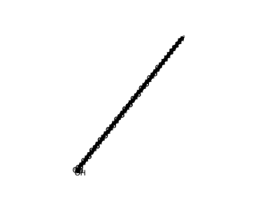 CCCCCCCCCCCCCCCCCCOCCOCCOCCOCCOCCOCCOCCOCCOCCOCCOCCOCCOCCOCCOCCOCCOCCOCCOCCOOS(=O)(=O)O